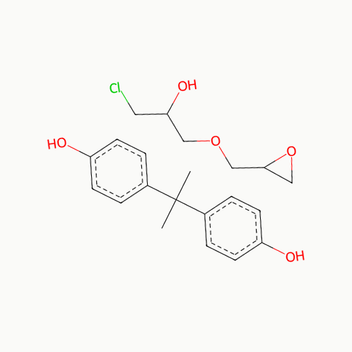 CC(C)(c1ccc(O)cc1)c1ccc(O)cc1.OC(CCl)COCC1CO1